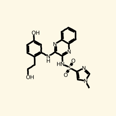 Cn1cnc(S(=O)(=O)Nc2nc3ccccc3nc2Nc2cc(O)ccc2CCO)c1